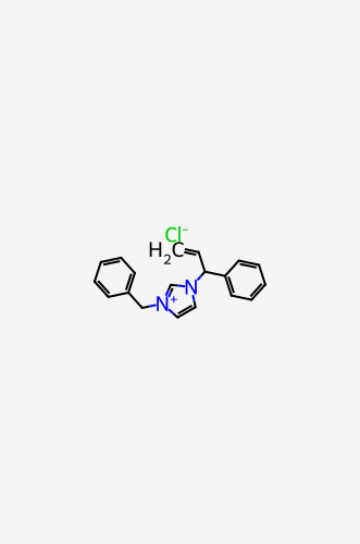 C=CC(c1ccccc1)n1cc[n+](Cc2ccccc2)c1.[Cl-]